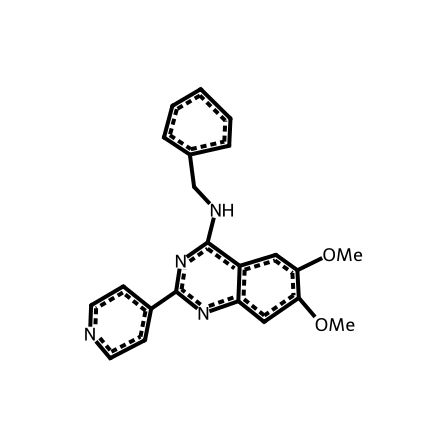 COc1cc2nc(-c3ccncc3)nc(NCc3ccccc3)c2cc1OC